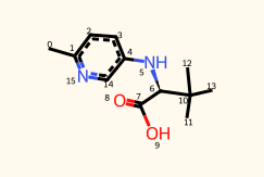 Cc1ccc(N[C@H](C(=O)O)C(C)(C)C)cn1